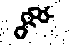 Cc1ccc2c(ccc3occ(-c4ccccc4)c(=O)c32)c1C